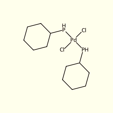 [Cl][Pd]([Cl])([PH]C1CCCCC1)[PH]C1CCCCC1